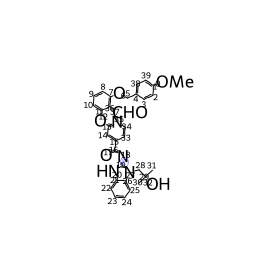 COc1ccc(COc2cccc(Oc3cc(C(=O)/N=c4\[nH]c5ccccc5n4CC(C)(C)O)ccn3)c2C=O)cc1